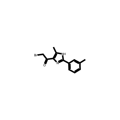 Cc1cccc(-c2nc(C(=O)CBr)c(C)[nH]2)c1